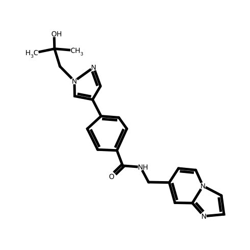 CC(C)(O)Cn1cc(-c2ccc(C(=O)NCc3ccn4ccnc4c3)cc2)cn1